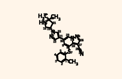 Cc1ccccc1Sc1cc(-c2cnn([C@@H]3CNC(C)(C)C3)c2)cn2ncc(C#N)c12